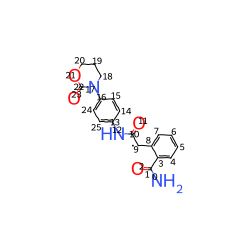 NC(=O)c1ccccc1[CH]C(=O)Nc1ccc(N2CCCOC2=O)cc1